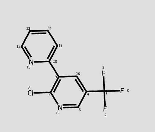 FC(F)(F)c1cnc(Cl)c(-c2ccccn2)c1